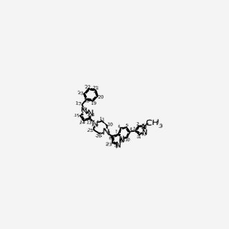 Cn1cc(-c2ccc3c(N4CCN(c5ccn(Cc6ccccc6)n5)CC4)cnn3c2)cn1